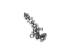 CN1CCN(C2CCN(c3ccc(Nc4ncc(Cl)c(C(=O)Nc5c(F)cccc5Cl)n4)cc3)CC2)CC1